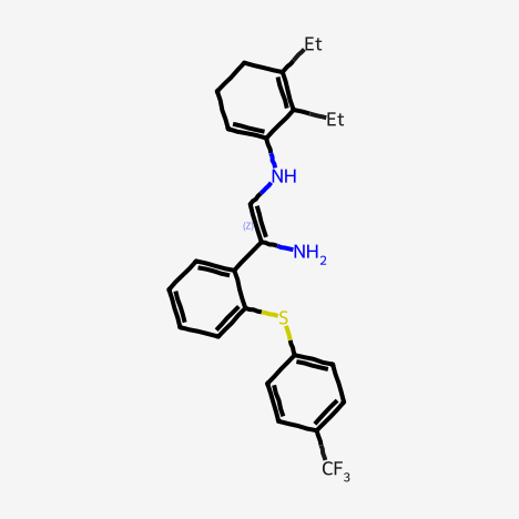 CCC1=C(CC)C(N/C=C(\N)c2ccccc2Sc2ccc(C(F)(F)F)cc2)=CCC1